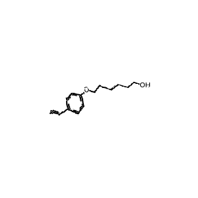 C=Cc1ccc(OCCCCCCO)cc1